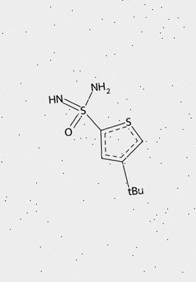 CC(C)(C)c1csc(S(=N)(N)=O)c1